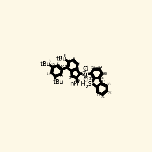 CCCC1=Cc2c(ccc(C(C)(C)C)c2-c2cc(C(C)(C)C)cc(C(C)(C)C)c2)[CH]1[Zr]([Cl])([Cl])[c]1cccc2c1[SiH2]c1ccccc1-2